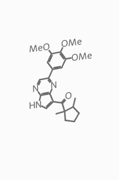 COc1cc(-c2cnc3[nH]cc(C(=O)C4(C)CCCC4C)c3n2)cc(OC)c1OC